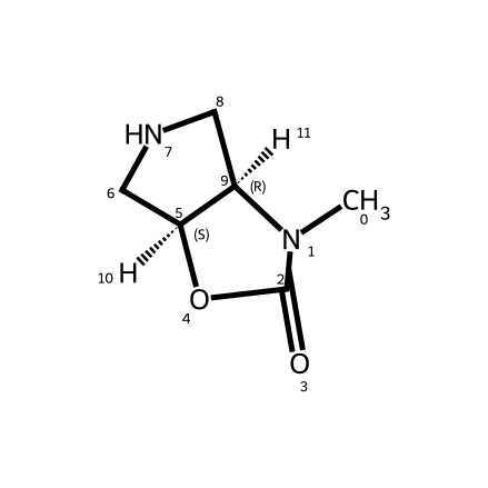 CN1C(=O)O[C@H]2CNC[C@H]21